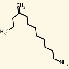 C=C(CCC)CCCCCCCCN